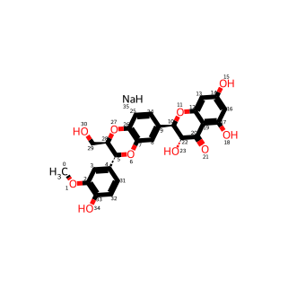 COc1cc([C@H]2Oc3cc([C@H]4Oc5cc(O)cc(O)c5C(=O)[C@@H]4O)ccc3O[C@@H]2CO)ccc1O.[NaH]